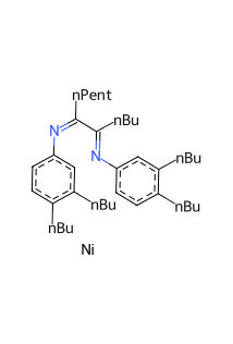 CCCCCC(=Nc1ccc(CCCC)c(CCCC)c1)C(CCCC)=Nc1ccc(CCCC)c(CCCC)c1.[Ni]